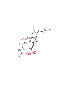 CCCCCCC(C)Oc1ccc(C=CC(=O)O)cc1OC(C)CCCCCC